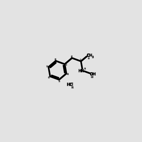 CC(Cc1ccccc1)NO.Cl